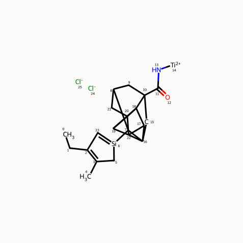 CCC1=C(C)C[Si](C2C3CC4(C(=O)[NH][Ti+2])CC25C2C46C4C6(C3)C245)=C1.[Cl-].[Cl-]